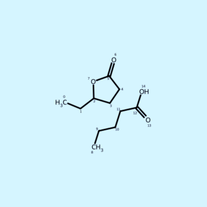 CCC1CCC(=O)O1.CCCCC(=O)O